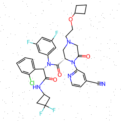 N#Cc1ccnc(N2C(=O)CN(CCOC3CCC3)C[C@H]2C(=O)N(c2cc(F)cc(F)c2)[C@H](C(=O)NC2CC(F)(F)C2)c2ccccc2Cl)c1